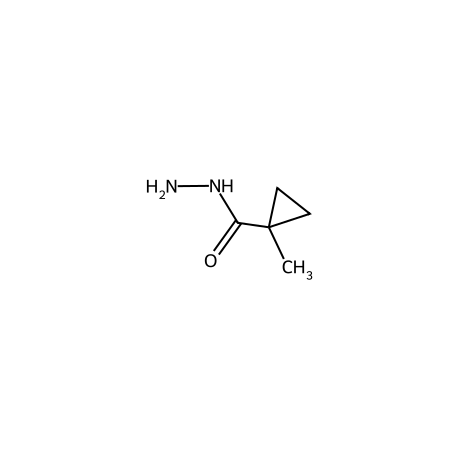 CC1(C(=O)NN)CC1